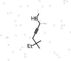 CB[C@H](C)C#CCC(C)(C)CC